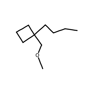 CCCCC1(COC)CCC1